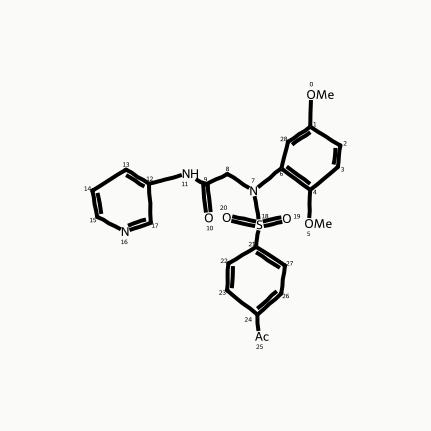 COc1ccc(OC)c(N(CC(=O)Nc2cccnc2)S(=O)(=O)c2ccc(C(C)=O)cc2)c1